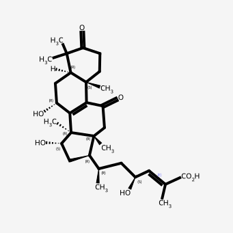 C/C(=C\[C@@H](O)C[C@@H](C)[C@H]1C[C@H](O)[C@@]2(C)C3=C(C(=O)C[C@]12C)[C@@]1(C)CCC(=O)C(C)(C)[C@@H]1C[C@H]3O)C(=O)O